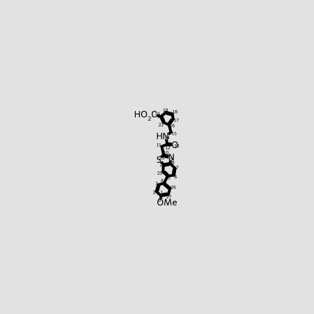 COc1ccc(-c2ccc3nc(CC(=O)NCc4cccc(C(=O)O)c4)sc3c2)cc1